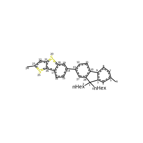 CCCCCCC1(CCCCCC)c2cc(C)ccc2-c2ccc(-c3ccc4c(c3)sc3cc(C)sc34)cc21